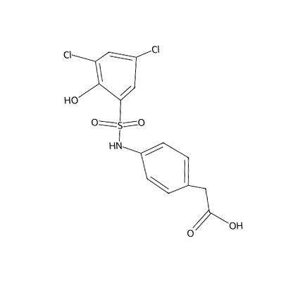 O=C(O)Cc1ccc(NS(=O)(=O)c2cc(Cl)cc(Cl)c2O)cc1